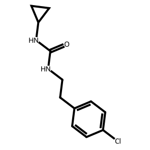 O=C(NCCc1ccc(Cl)cc1)NC1CC1